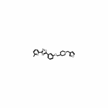 Cc1cccc(-c2noc(-c3cccc(OCC4CCN(Cc5ccoc5)CC4)c3)n2)n1